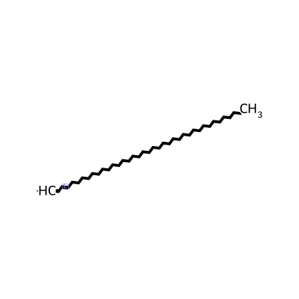 [CH]=C/C=C/CCCCCCCCCCCCCCCCCCCCCCCCCCCCCCCCCCC